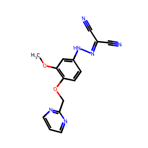 COc1cc(NN=C(C#N)C#N)ccc1OCc1ncccn1